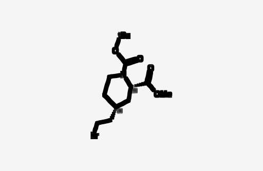 COC(=O)[C@@H]1C[C@H](CCBr)CCN1C(=O)OC(C)(C)C